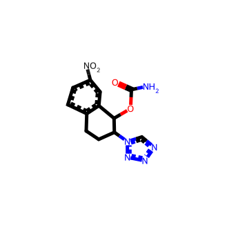 NC(=O)OC1c2cc([N+](=O)[O-])ccc2CCC1n1cnnn1